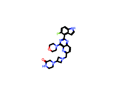 O=C1CN(C2CN(Cc3ccc4nc(-c5c(F)ccc6[nH]ccc56)nc(N5CCOCC5)c4n3)C2)CCN1